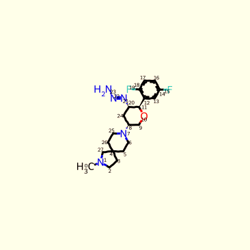 CN1CCC2(CCN([C@H]3CO[C@H](c4cc(F)ccc4F)[C@@H](N=NN)C3)CC2)C1